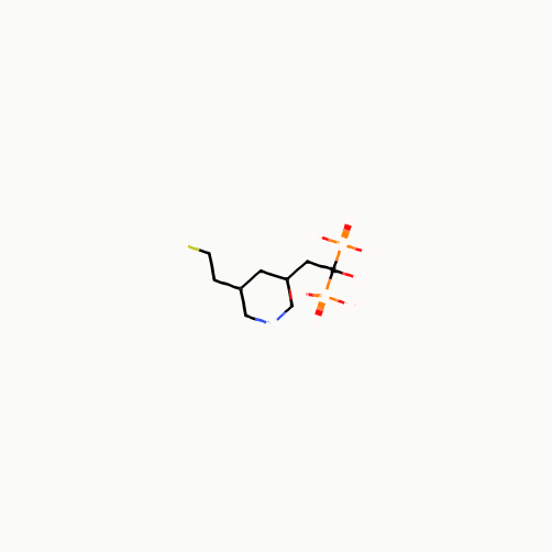 O=P(O)(O)C(O)(CC1CNCC(CCS)C1)P(=O)(O)O